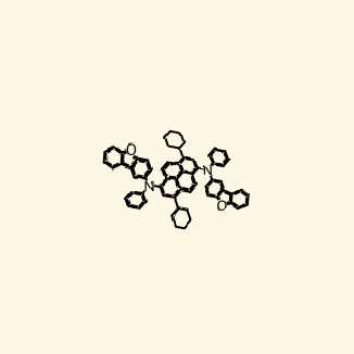 c1ccc(N(c2ccc3oc4ccccc4c3c2)c2cc(C3CCCCC3)c3ccc4c(N(c5ccccc5)c5ccc6oc7ccccc7c6c5)cc(C5CCCCC5)c5ccc2c3c54)cc1